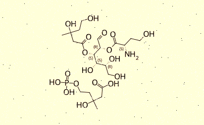 CC(O)(CCO)CC(=O)O[C@@H]([C@@H](O)[C@H](O)CO)[C@H](C=O)OC(=O)[C@@H](N)CCO.CC(O)(CCOP(=O)(O)O)CC(=O)O